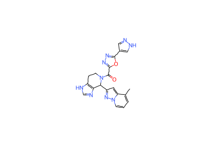 Cc1cccn2nc(C3c4nc[nH]c4CCN3C(=O)c3nnc(-c4cn[nH]c4)o3)cc12